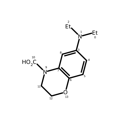 CCN(CC)c1ccc2c(c1)N(C(=O)O)CCO2